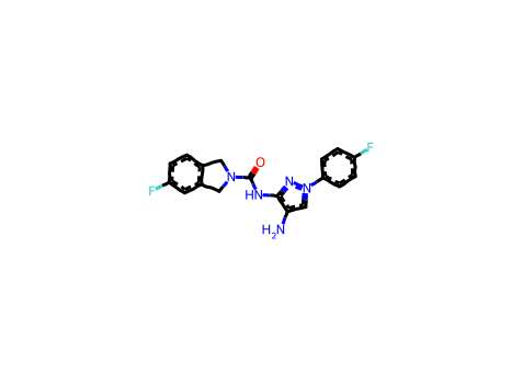 Nc1cn(-c2ccc(F)cc2)nc1NC(=O)N1Cc2ccc(F)cc2C1